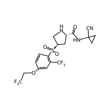 N#CC1(NC(=O)[C@@H]2C[C@@H](S(=O)(=O)c3ccc(OCC(F)(F)F)cc3C(F)(F)F)CN2)CC1